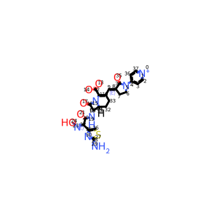 C[n+]1ccc(N2CC/C(=C\C3=C(C(=O)[O-])N4C(=O)[C@@H](NC(=O)/C(=N\O)c5csc(N)n5)[C@H]4CC3)C2=O)cc1